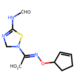 O=CNC1=NCN(C(=NOC2C=CCC2)C(=O)O)S1